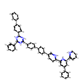 c1ccc(-c2ccc(-c3nc(-c4ccccc4)nc(-c4ccc(-c5ccc(-c6ccc(-c7cc(-c8ccccc8)cc(-c8ccccn8)n7)nc6)cc5)cc4)n3)cc2)cc1